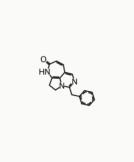 O=C1C=CC2=CN=C(Cc3ccccc3)N3CCC(=C23)N1